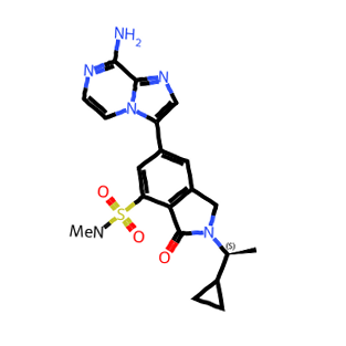 CNS(=O)(=O)c1cc(-c2cnc3c(N)nccn23)cc2c1C(=O)N([C@@H](C)C1CC1)C2